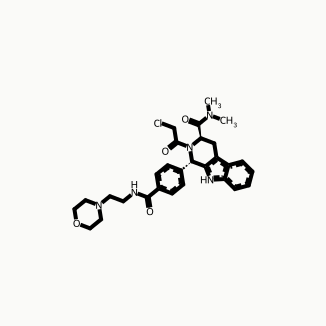 CN(C)C(=O)[C@H]1Cc2c([nH]c3ccccc23)[C@H](c2ccc(C(=O)NCCN3CCOCC3)cc2)N1C(=O)CCl